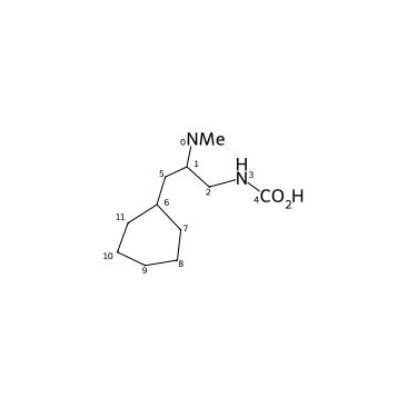 CNC(CNC(=O)O)CC1CCCCC1